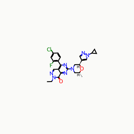 CCn1ncc2c(-c3ccc(Cl)cc3F)nc(N3C[C@@H](C)O[C@H](c4cnn(C5CC5)c4)C3)nc2c1=O